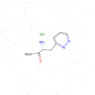 COC(=O)[C@H](N)Cc1cccnn1.Cl